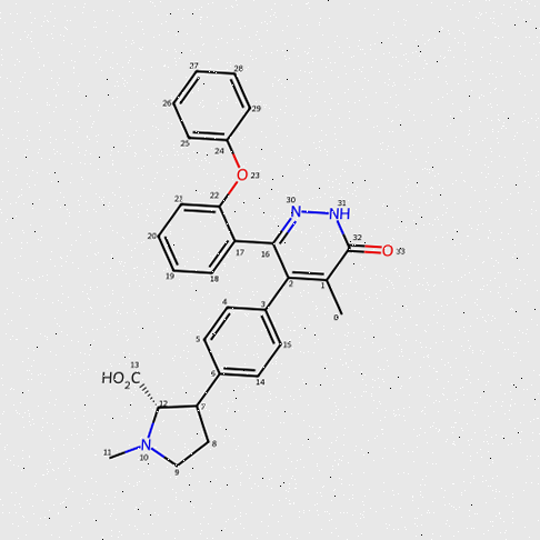 Cc1c(-c2ccc(C3CCN(C)[C@@H]3C(=O)O)cc2)c(-c2ccccc2Oc2ccccc2)n[nH]c1=O